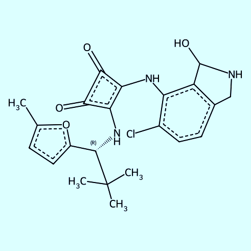 Cc1ccc([C@H](Nc2c(Nc3c(Cl)ccc4c3C(O)NC4)c(=O)c2=O)C(C)(C)C)o1